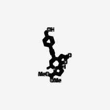 COC(OC)C1CC[C@@H]2C3OC(=O)C=C3C(C#Cc3ccc(CO)cc3)=C[C@H](C)N12